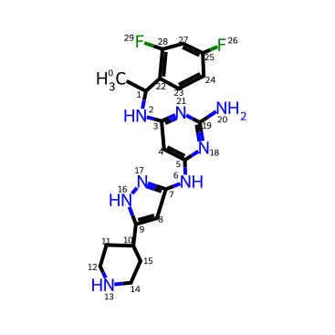 CC(Nc1cc(Nc2cc(C3CCNCC3)[nH]n2)nc(N)n1)c1ccc(F)cc1F